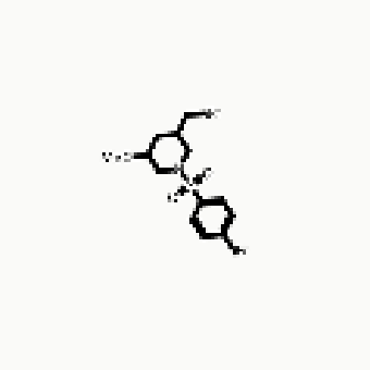 COC1CC(CC(C)C)CN(S(=O)(=O)c2ccc(C(C)C)cc2)C1